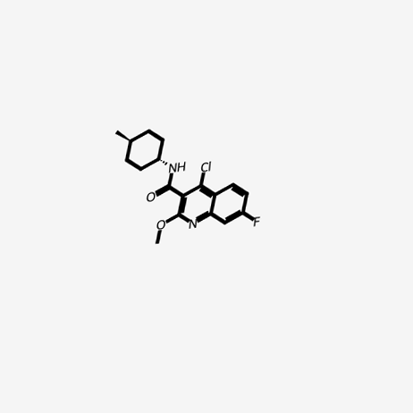 COc1nc2cc(F)ccc2c(Cl)c1C(=O)N[C@H]1CC[C@H](C)CC1